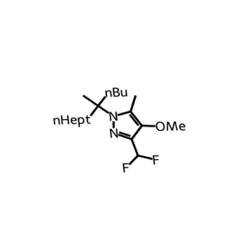 CCCCCCCC(C)(CCCC)n1nc(C(F)F)c(OC)c1C